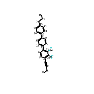 CCC#Cc1ccc(-c2ccc(-c3ccc(CCC)cc3)cc2)c(F)c1F